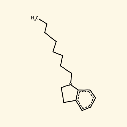 CCCCCCCCN1CCc2ccccc21